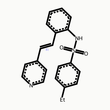 CCc1ccc(S(=O)(=O)Nc2ccccc2/C=C/c2ccncc2)cc1